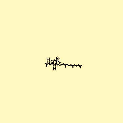 C=C(C)NCC(=O)N/C(=C/SC/C=C(\C)CC/C=C(\C)CCC=C(C)C)C(=C)N=O